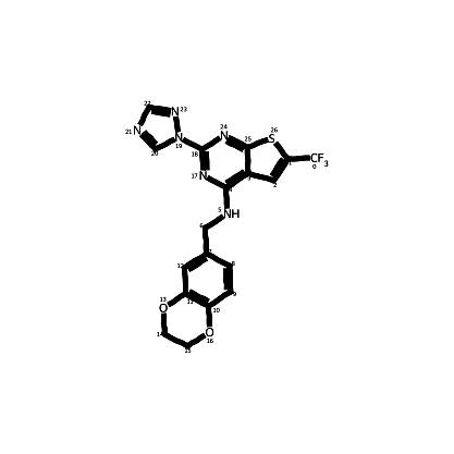 FC(F)(F)c1cc2c(NCc3ccc4c(c3)OCCO4)nc(-n3cncn3)nc2s1